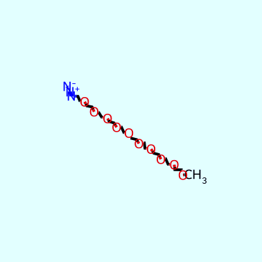 COCCOCCOCCOCCOCCOCCOCCOCCOCCOCCN=[N+]=[N-]